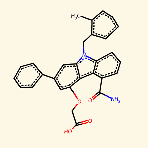 Cc1ccccc1Cn1c2cc(-c3ccccc3)cc(OCC(=O)O)c2c2c(C(N)=O)cccc21